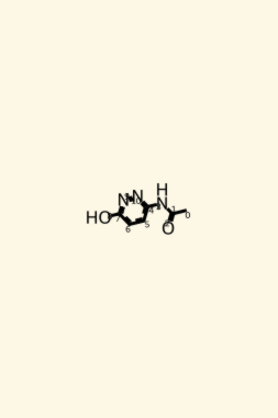 CC(=O)Nc1ccc(O)nn1